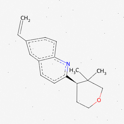 C=Cc1ccc2nc([C@@H]3CCOCC3(C)C)ccc2c1